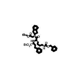 CCOC(=O)[C@@H](CCc1ccccc1)N[C@@H](CCCCNC(=O)OCc1ccccc1)C(=O)N(CC(=O)OC(C)(C)C)C1Cc2ccccc2C1